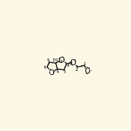 [O]CCOC1CC2OCCC2O1